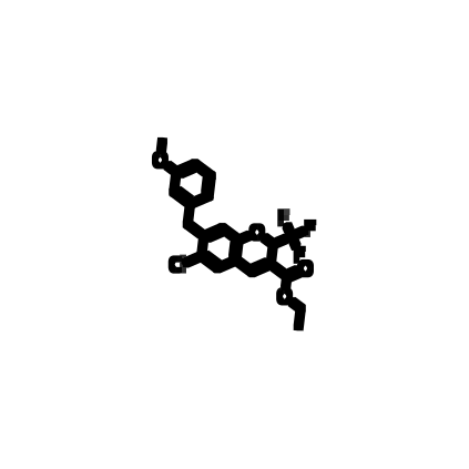 CCOC(=O)C1=Cc2cc(Cl)c(Cc3cccc(OC)c3)cc2OC1C(F)(F)F